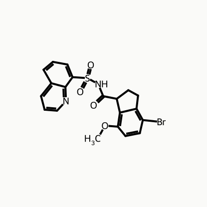 COc1ccc(Br)c2c1C(C(=O)NS(=O)(=O)c1cccc3cccnc13)CC2